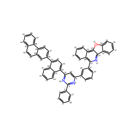 c1ccc(-c2nc(-c3cccc(-c4nc5c6ccccc6oc5c5ccccc45)c3)cc(-c3ccc(-c4ccc5c(ccc6ccccc65)c4)c4ccccc34)n2)cc1